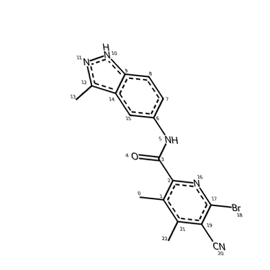 Cc1c(C(=O)Nc2ccc3[nH]nc(C)c3c2)nc(Br)c(C#N)c1C